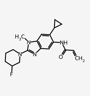 C=CC(=O)Nc1cc2nc(N3CCCC(F)C3)n(C)c2cc1C1CC1